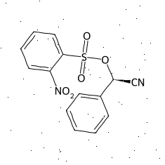 N#C[C@H](OS(=O)(=O)c1ccccc1[N+](=O)[O-])c1ccccc1